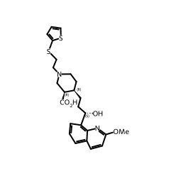 COc1ccc2cccc([C@@H](O)CC[C@@H]3CCN(CCSc4cccs4)C[C@@H]3C(=O)O)c2n1